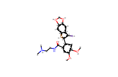 COc1cc(C(=O)NCCN(C)C)c(-c2sc3cc4c(cc3c2I)OCO4)cc1OC